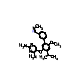 C/N=C\c1cccc(-c2cc(Oc3cnc(N)nc3N)c(C(C)C)cc2OC)c1